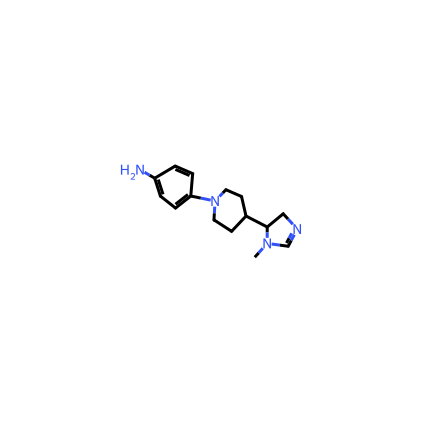 CN1C=NCC1C1CCN(c2ccc(N)cc2)CC1